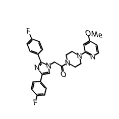 COc1ccnc(N2CCN(C(=O)Cn3cc(-c4ccc(F)cc4)nc3-c3ccc(F)cc3)CC2)c1